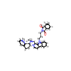 CN(Cc1nccc2c3ccccc3n(CCCN3C(=O)c4ccccc4C3=O)c12)[C@H]1CCCc2cccnc21